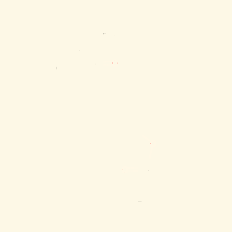 CCCCCC(C)(CCC)C(=O)Cc1ccc(OC(=O)C(C)(C)CC)cc1